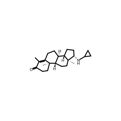 CC1=C2CC[C@H]3[C@@H]4CC[C@H](NC5CC5)[C@@]4(C)CC[C@@H]3[C@@]2(C)CCC1=O